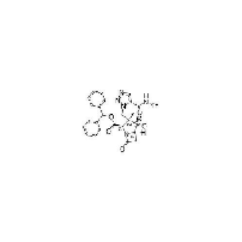 CCNC(=O)c1cnnn1C[C@@]1(C)[C@H](C(=O)OC(c2ccccc2)c2ccccc2)N2C(=O)C[C@@H]2S1(=O)=O